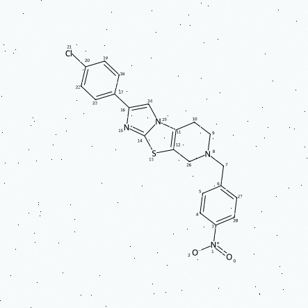 O=[N+]([O-])c1ccc(CN2CCc3c(sc4nc(-c5ccc(Cl)cc5)cn34)C2)cc1